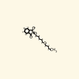 CCCCOCCCCCON1C(=O)c2ccccc2C1=O